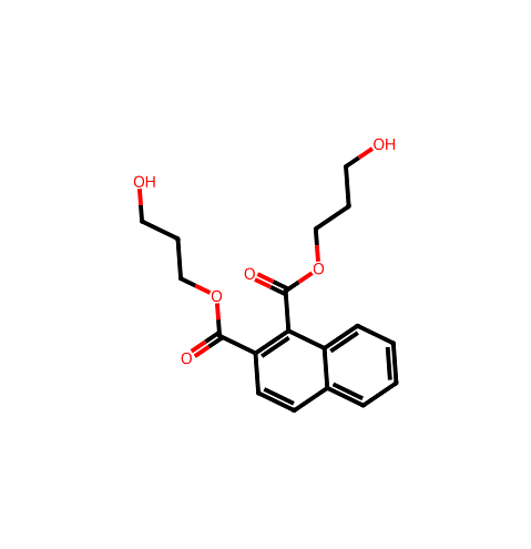 O=C(OCCCO)c1ccc2ccccc2c1C(=O)OCCCO